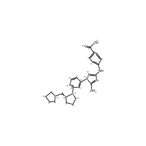 Nc1nc(Nc2ccc(C(=O)O)cc2)nn1-c1ccnc(N2CCC[C@H]2CN2CCCC2)c1